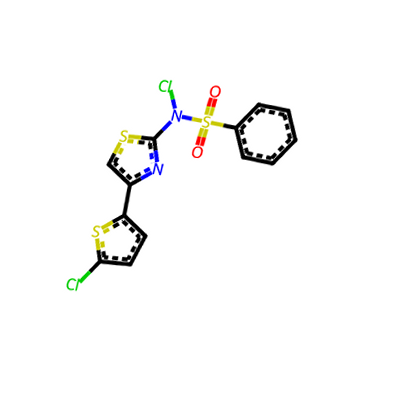 O=S(=O)(c1ccccc1)N(Cl)c1nc(-c2ccc(Cl)s2)cs1